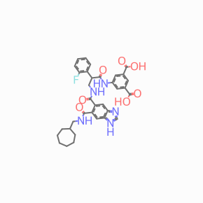 O=C(O)c1cc(NC(=O)C(CNC(=O)c2cc3nc[nH]c3cc2C(=O)NCC2CCCCCC2)c2ccccc2F)cc(C(=O)O)c1